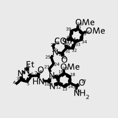 CCn1nc(C)cc1C(=O)Nc1nc2cc(C(N)=O)cc(OC)c2n1CCCN(CC(=O)O)C(=O)c1cc2cc(OC)c(OC)cc2s1